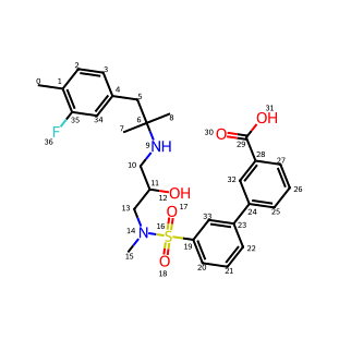 Cc1ccc(CC(C)(C)NCC(O)CN(C)S(=O)(=O)c2cccc(-c3cccc(C(=O)O)c3)c2)cc1F